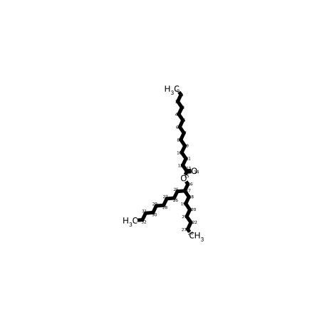 CCCCCCCCCCCCCC(=O)OCC(CCCCCCC)CCCCCCCCC